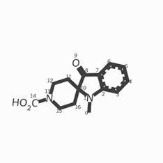 CN1c2ccccc2C(=O)C12CCN(C(=O)O)CC2